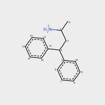 CC(N)CC(c1ccccc1)c1ccccc1